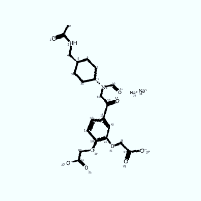 CC(=O)NC[C@H]1CC[C@H](N(C=O)CC(=O)c2ccc(OCC(=O)[O-])c(OCC(=O)[O-])c2)CC1.[Na+].[Na+]